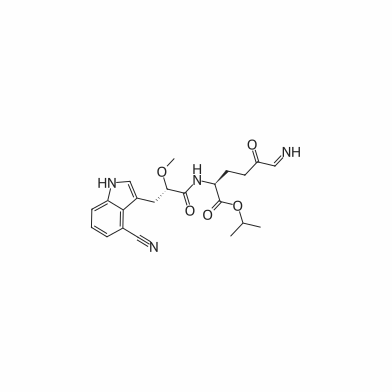 CO[C@@H](Cc1c[nH]c2cccc(C#N)c12)C(=O)N[C@@H](CCC(=O)C=N)C(=O)OC(C)C